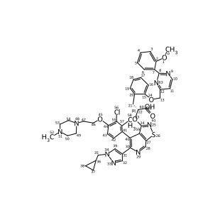 COc1ccccc1-c1nccc(COc2ccccc2C[C@@H](Oc2nsc3cnc(-c4cnn(CC5CC5)c4)c(-c4ccc(OCCN5CCN(C)CC5)c(Cl)c4C)c23)C(=O)O)n1